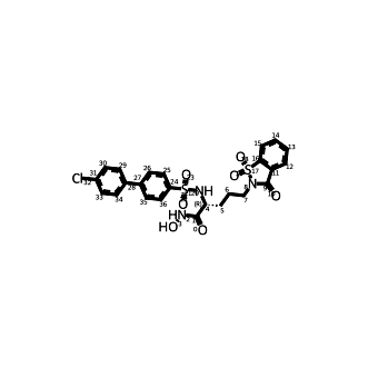 O=C(NO)[C@@H](CCCN1C(=O)c2ccccc2S1(=O)=O)NS(=O)(=O)c1ccc(-c2ccc(Cl)cc2)cc1